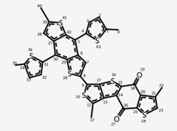 Cc1ccc(-c2c3cc(-c4sc(C)c5c6c(sc45)C(=O)c4c(C)csc4C6=O)sc3c(-c3ccc(C)s3)c3cc(C)sc23)s1